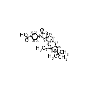 CCOc1nn(C(C)(C)C)cc1CN1CCC2(CC1)CN(c1ccc(C(=O)O)cc1)C(=O)O2